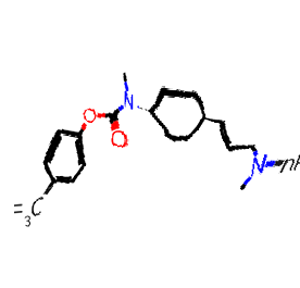 CCCN(C)CC=C[C@H]1CC[C@H](N(C)C(=O)Oc2ccc(C(F)(F)F)cc2)CC1